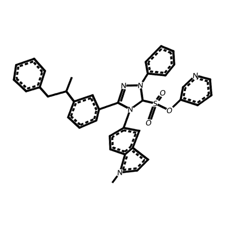 CC(Cc1ccccc1)c1cccc(C2=NN(c3ccccc3)C(S(=O)(=O)Oc3cccnc3)N2c2ccc3c(ccn3C)c2)c1